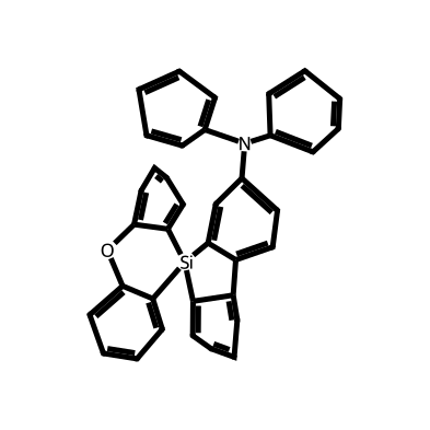 c1ccc(N(c2ccccc2)c2ccc3c(c2)[Si]2(c4ccccc4Oc4ccccc42)c2ccccc2-3)cc1